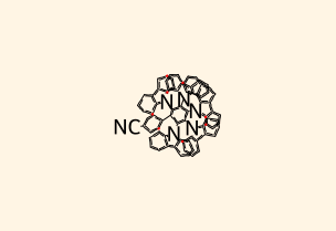 N#Cc1ccc(-c2c(-n3c4ccccc4c4ccccc43)c(-n3c4ccccc4c4ccccc43)c(-n3c4ccccc4c4ccc5ccccc5c43)c(-n3c4ccccc4c4ccccc43)c2-n2c3ccccc3c3ccccc32)cc1